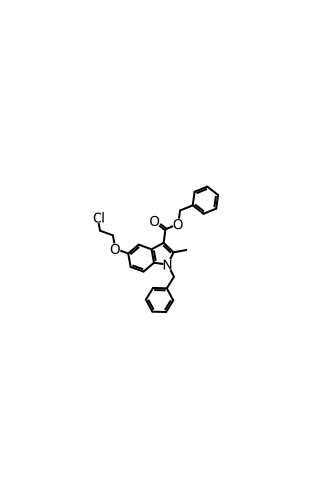 Cc1c(C(=O)OCc2ccccc2)c2cc(OCCCl)ccc2n1Cc1ccccc1